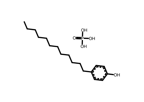 CCCCCCCCCCCCc1ccc(O)cc1.O=P(O)(O)O